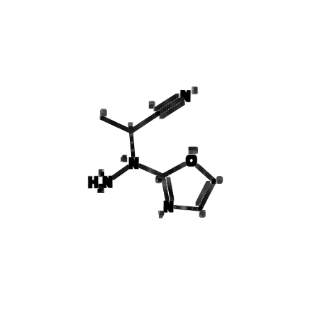 CC(C#N)N(N)c1ncco1